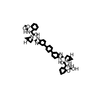 O=C(O)N[C@@H](C(=O)N1[C@H](c2nc3cc(-c4ccc(-c5ccc6[nH]c([C@@H]7C[C@@H]8C=C8N7C(=O)[C@H](NC7OCO7)c7ccccc7)nc6c5)cc4)ccc3[nH]2)C[C@@H]2C[C@@H]21)c1ccccc1